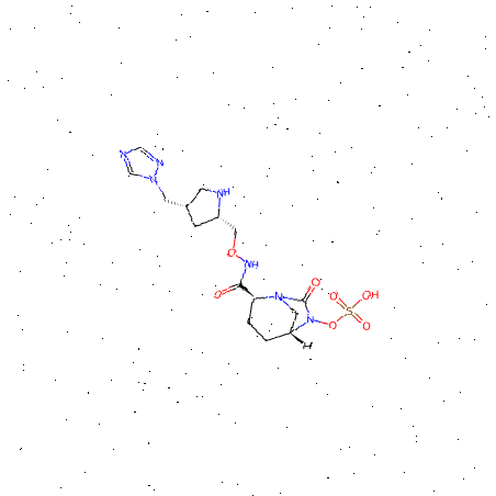 O=C(NOC[C@@H]1C[C@H](Cn2cncn2)CN1)[C@@H]1CC[C@@H]2CN1C(=O)N2OS(=O)(=O)O